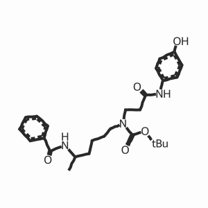 CC(CCCCN(CCC(=O)Nc1ccc(O)cc1)C(=O)OC(C)(C)C)NC(=O)c1ccccc1